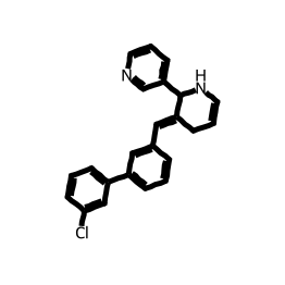 Clc1cccc(-c2cccc(C=C3CC=CNC3c3cccnc3)c2)c1